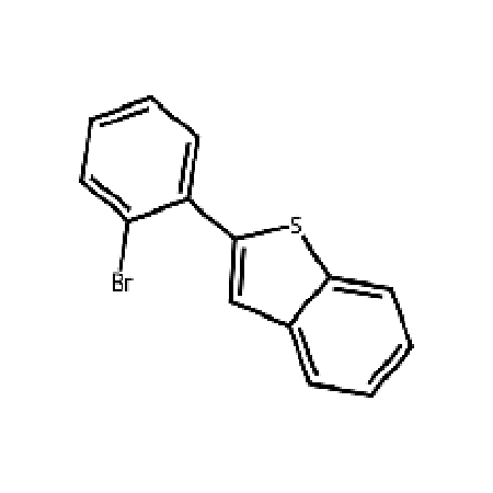 Brc1ccccc1-c1cc2ccccc2s1